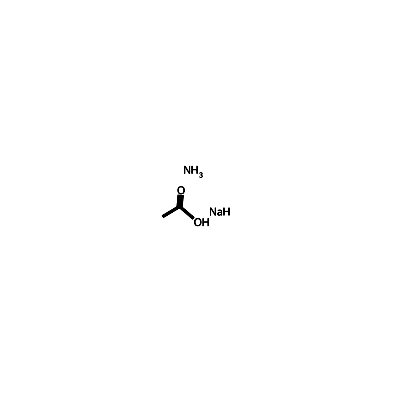 CC(=O)O.N.[NaH]